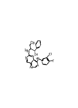 OCC(Nc1ncc2ncnc(Nc3ccc(F)c(Cl)c3)c2n1)C(O)c1ccccc1